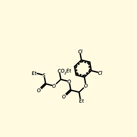 CCOC(=O)C(OC(=O)SCC)OC(=O)C(CC)Oc1ccc(Cl)cc1Cl